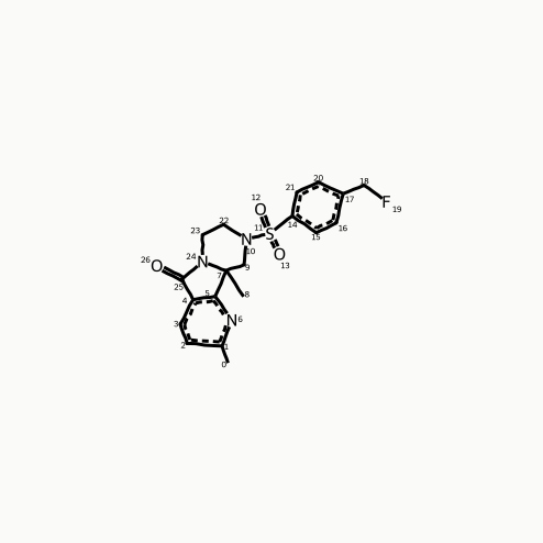 Cc1ccc2c(n1)C1(C)CN(S(=O)(=O)c3ccc(CF)cc3)CCN1C2=O